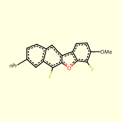 CCCc1ccc2cc3c(oc4c(F)c(OC)ccc43)c(F)c2c1